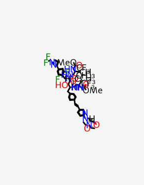 COC(=O)NC(C(=O)NC(Cc1ccc(C#Cc2ccc(N3CC[N+]4([O-])CCOC[C@H]4C3)nc2)cc1)C(O)CN(Cc1c(F)cc(-c2ccn(C(F)F)n2)cc1F)NC(=O)C(NC(=O)OC)C(C)(C)C(F)(F)F)C(C)(C)C(F)(F)F